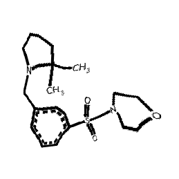 CC1(C)CCCN1Cc1cccc(S(=O)(=O)N2CCOCC2)c1